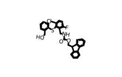 O=C(NCc1c(F)ccc(Cl)c1Sc1ccccc1CO)OCC1c2ccccc2-c2ccccc21